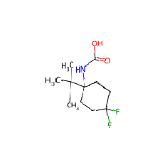 CC(C)(C)C1(NC(=O)O)CCC(F)(F)CC1